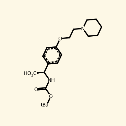 CC(C)(C)OC(=O)N[C@@H](C(=O)O)c1ccc(OCCN2CCCCC2)cc1